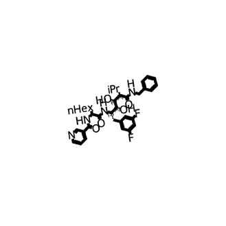 CCCCCCC(NC(=O)c1cccnc1)C(=O)N[C@@H](Cc1cc(F)cc(F)c1)[C@@H](O)[C@H](O)[C@H](C(=O)NCc1ccccc1)C(C)C